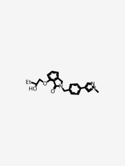 CCC(O)COc1cccc2c1C(=O)N(Cc1ccc(-c3cnn(C)c3)cc1)C2